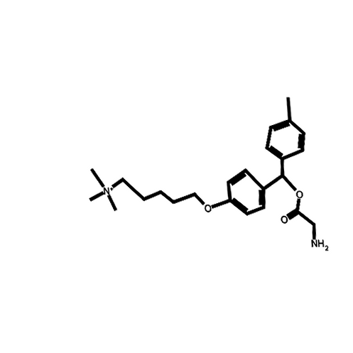 Cc1ccc(C(OC(=O)CN)c2ccc(OCCCCC[N+](C)(C)C)cc2)cc1